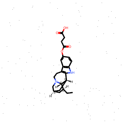 CC[C@H]1C[C@@H]2C[C@H]3c4[nH]c5ccc(OC(=O)CCC(=O)O)cc5c4CCN(C2)[C@@H]13